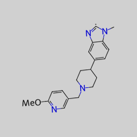 COc1ccc(CN2CCC(c3ccc4c(c3)n[c]n4C)CC2)cn1